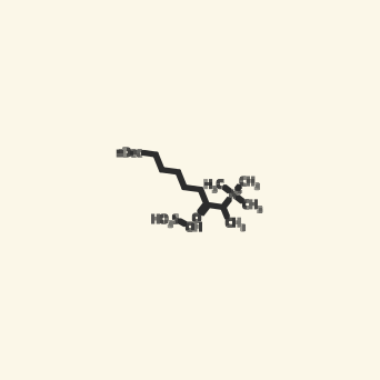 CCCCCCCCCCCCCCCC(=O)C(C)[N+](C)(C)C.O=S(=O)(O)O